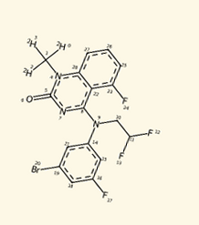 [2H]C([2H])([2H])n1c(=O)nc(N(CC(F)F)c2cc(F)cc(Br)c2)c2c(F)cccc21